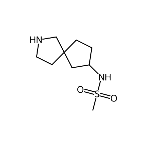 CS(=O)(=O)NC1CCC2(CCNC2)C1